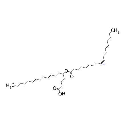 CCCCCCCC/C=C\CCCCCCCC(=O)OC(CCCCCCCCCCCCC)CCCC(=O)O